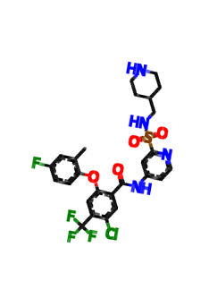 Cc1cc(F)ccc1Oc1cc(C(F)(F)F)c(Cl)cc1C(=O)Nc1ccnc(S(=O)(=O)NCC2CCNCC2)c1